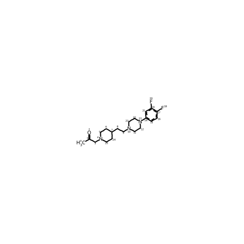 CC(=O)CN1CCC(CCN2CCN(c3ccc(F)c(F)c3)CC2)CC1